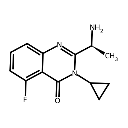 C[C@H](N)c1nc2cccc(F)c2c(=O)n1C1CC1